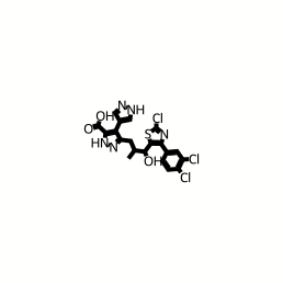 CC(Cc1n[nH]c(C(=O)O)c1-c1cn[nH]c1)C(O)c1sc(Cl)nc1-c1ccc(Cl)c(Cl)c1